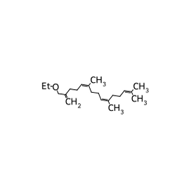 C=C(CCC=C(C)CCC=C(C)CCC=C(C)C)COCC